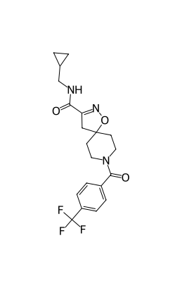 O=C(NCC1CC1)C1=NOC2(CCN(C(=O)c3ccc(C(F)(F)F)cc3)CC2)C1